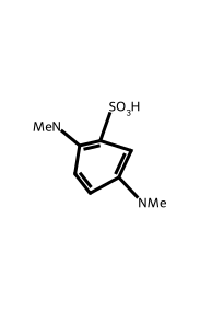 CNc1ccc(NC)c(S(=O)(=O)O)c1